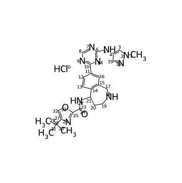 Cl.Cn1cc(Nc2ncnc(-c3ccc4c(c3)CNCCC4NC(=O)c3nc(C(C)(C)C)co3)n2)cn1